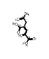 O=C(O)C/C(=C/C(=O)C(=O)O)C(=O)O